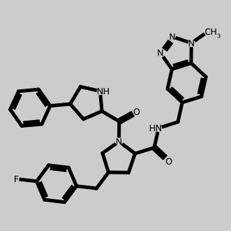 Cn1nnc2cc(CNC(=O)C3CC(Cc4ccc(F)cc4)CN3C(=O)C3CC(c4ccccc4)CN3)ccc21